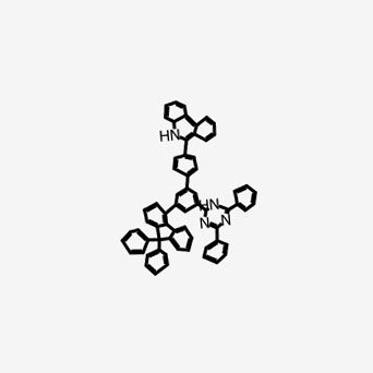 C1=CC2=c3ccccc3=C(c3ccc(-c4cc(-c5cccc6c5-c5ccccc5C6(c5ccccc5)c5ccccc5)cc(C5N=C(c6ccccc6)N=C(c6ccccc6)N5)c4)cc3)NC2C=C1